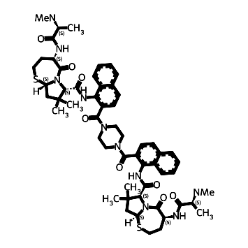 CN[C@@H](C)C(=O)N[C@H]1CCS[C@H]2CC(C)(C)[C@@H](C(=O)Nc3c(C(=O)N4CCN(C(=O)c5ccc6ccccc6c5NC(=O)[C@H]5N6C(=O)[C@@H](NC(=O)[C@H](C)NC)CCS[C@H]6CC5(C)C)CC4)ccc4ccccc34)N2C1=O